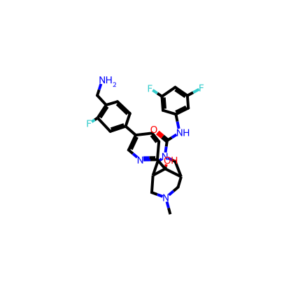 CN1CC2CN(C(=O)Nc3cc(F)cc(F)c3)CC(C1)C2(O)c1ccc(-c2ccc(CN)c(F)c2)cn1